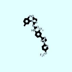 Cc1ccc(C(C)C)c(N2C(=O)CS/C2=N\C(=O)Nc2ccc(-c3ncn(-c4ccc(OC(F)(F)F)cn4)n3)cc2C(F)(F)F)c1